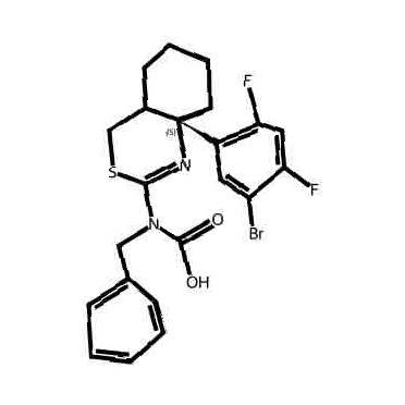 O=C(O)N(Cc1ccccc1)C1=N[C@@]2(c3cc(Br)c(F)cc3F)CCCCC2CS1